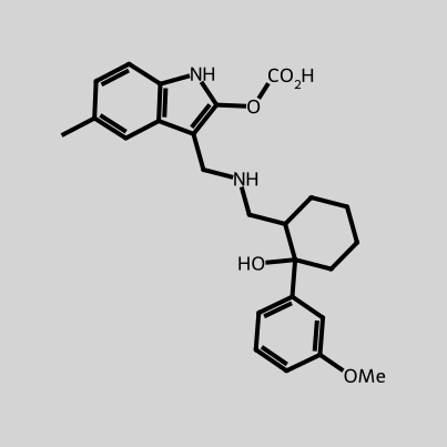 COc1cccc(C2(O)CCCCC2CNCc2c(OC(=O)O)[nH]c3ccc(C)cc23)c1